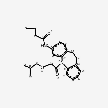 CCCC(=O)Nc1ccc2c(c1)N(C(=O)COCC(C)C)c1ccccc1CC2